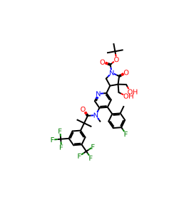 Cc1cc(F)ccc1-c1cc(C2CN(C(=O)OC(C)(C)C)C(=O)C2(CO)CO)ncc1N(C)C(=O)C(C)(C)c1cc(C(F)(F)F)cc(C(F)(F)F)c1